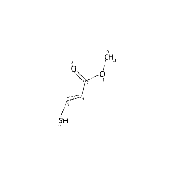 COC(=O)C=CS